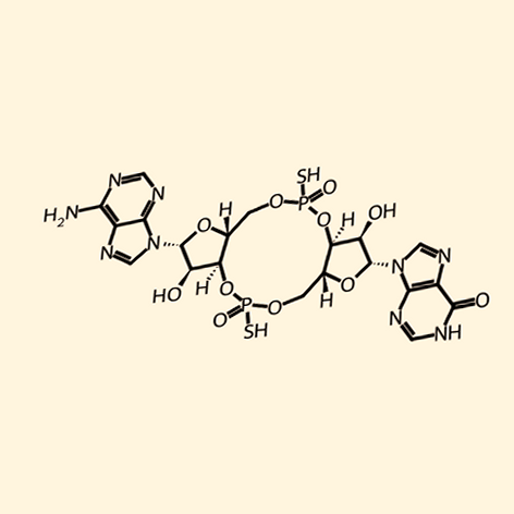 Nc1ncnc2c1ncn2[C@@H]1O[C@@H]2COP(=O)(S)O[C@H]3[C@@H](O)[C@H](n4cnc5c(=O)[nH]cnc54)O[C@@H]3COP(=O)(S)O[C@H]2[C@H]1O